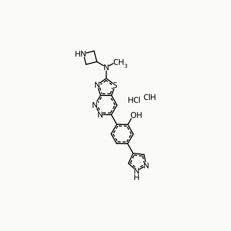 CN(c1nc2nnc(-c3ccc(-c4cn[nH]c4)cc3O)cc2s1)C1CNC1.Cl.Cl